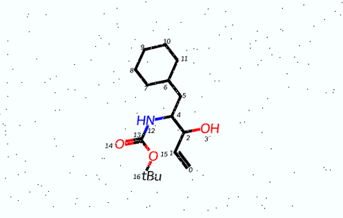 C=CC(O)C(CC1CCCCC1)NC(=O)OC(C)(C)C